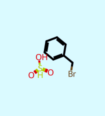 BrCc1ccccc1.O=[SH](=O)O